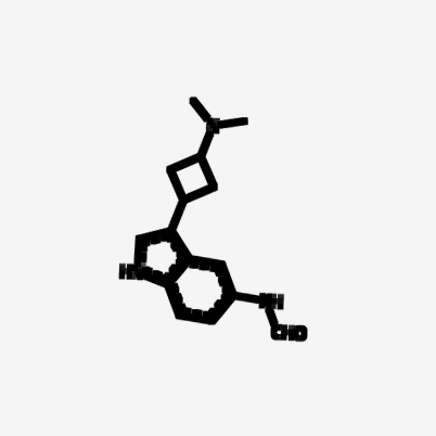 CN(C)C1CC(c2c[nH]c3ccc(NC=O)cc23)C1